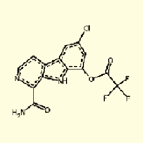 NC(=O)c1nccc2c1[nH]c1c(OC(=O)C(F)(F)F)cc(Cl)cc12